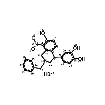 Br.O=[N+]([O-])c1c(O)ccc2c1CN(Cc1ccccc1)CC2c1ccc(O)c(O)c1